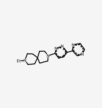 CCN1CCC2(CC1)CCN(c1ccc(-c3cnccn3)nn1)CC2